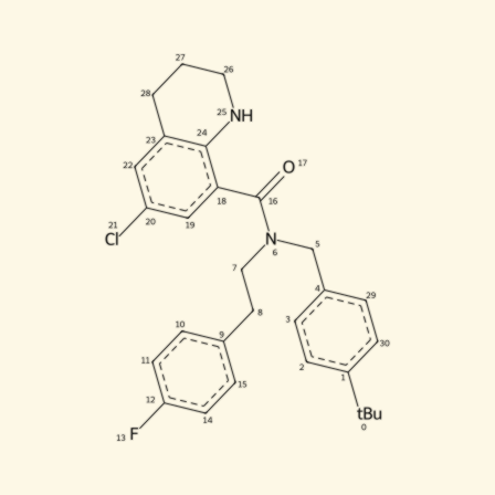 CC(C)(C)c1ccc(CN(CCc2ccc(F)cc2)C(=O)c2cc(Cl)cc3c2NCCC3)cc1